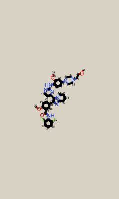 COCCN1CCN(c2ccc(Nc3nccc(-c4c(-c5ccc(OC)c(C(=O)Nc6c(F)cccc6F)c5)nc5ccccn45)n3)c(OC)c2)CC1